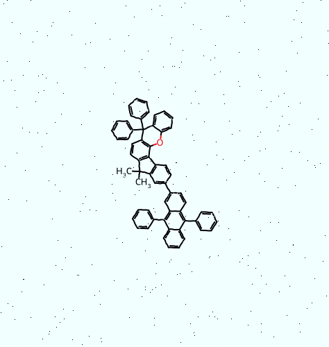 CC1(C)c2cc(-c3ccc4c(-c5ccccc5)c5ccccc5c(-c5ccccc5)c4c3)ccc2-c2c1ccc1c2Oc2ccccc2C1(c1ccccc1)c1ccccc1